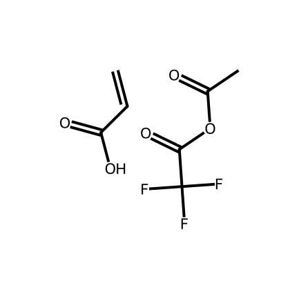 C=CC(=O)O.CC(=O)OC(=O)C(F)(F)F